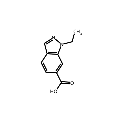 CCn1ncc2ccc(C(=O)O)cc21